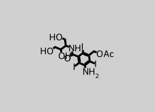 CC(=O)OCc1c(I)c(N)c(I)c(C(=O)NC(CO)C(O)CO)c1I